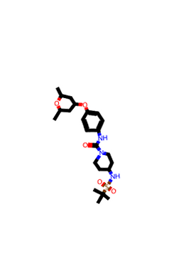 CC1CC(Oc2ccc(NC(=O)N3CCC(NS(=O)(=O)C(C)(C)C)CC3)cc2)CC(C)O1